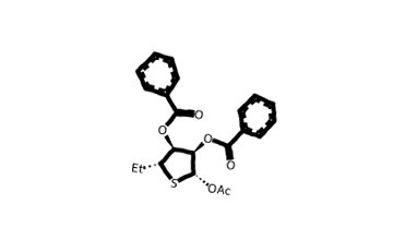 CC[C@H]1S[C@@H](OC(C)=O)[C@H](OC(=O)c2ccccc2)[C@@H]1OC(=O)c1ccccc1